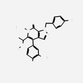 Cc1ccc(Cn2ncc3c(-c4ccc(C)c(C)c4)c(C(OC(C)(C)C)C(=O)O)n(C)c(=O)c32)cc1